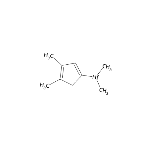 CC1=C(C)C[C]([Hf]([CH3])[CH3])=C1